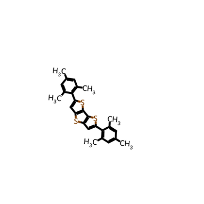 Cc1cc(C)c(-c2cc3sc4cc(-c5c(C)cc(C)cc5C)sc4c3s2)c(C)c1